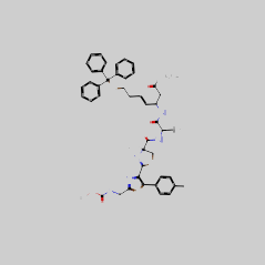 CCc1ccc(-c2sc(CNC(=O)OC(C)(C)C)nc2C2=N[C@](C)(C(=O)NC(C(=O)NC(/C=C/CCSC(c3ccccc3)(c3ccccc3)c3ccccc3)CC(=O)OC)C(C)C)CS2)cc1